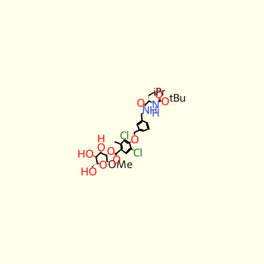 CO[C@H]1O[C@H](CO)[C@@H](O)[C@H](O)[C@H]1OC(=O)c1cc(Cl)c(OCc2cccc(CNC(=O)[C@H](CC(C)C)NC(=O)OC(C)(C)C)c2)c(Cl)c1C